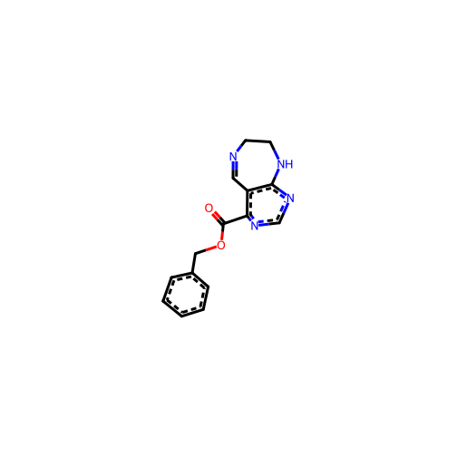 O=C(OCc1ccccc1)c1ncnc2c1C=NCCN2